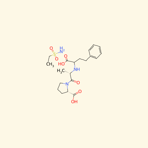 CCS(N)(=O)=O.C[C@H](NC(CCc1ccccc1)C(=O)O)C(=O)N1CCC[C@H]1C(=O)O